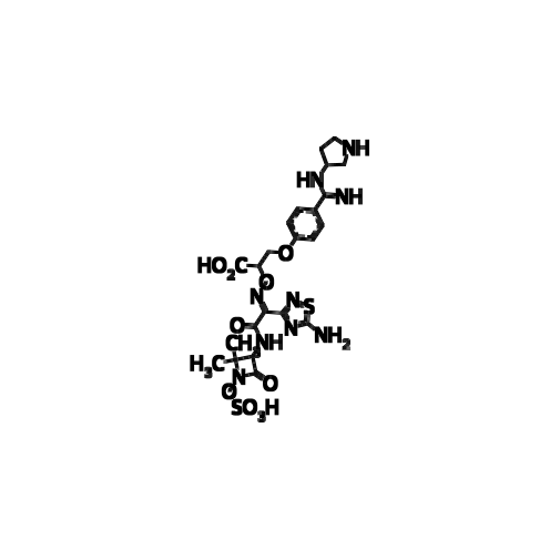 CC1(C)C(NC(=O)C(=NOC(COc2ccc(C(=N)NC3CCNC3)cc2)C(=O)O)c2nsc(N)n2)C(=O)N1OS(=O)(=O)O